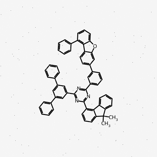 CC1(C)c2ccccc2-c2c(-c3nc(-c4cccc(-c5ccc6c(c5)oc5cccc(-c7ccccc7)c56)c4)nc(-c4cc(-c5ccccc5)cc(-c5ccccc5)c4)n3)cccc21